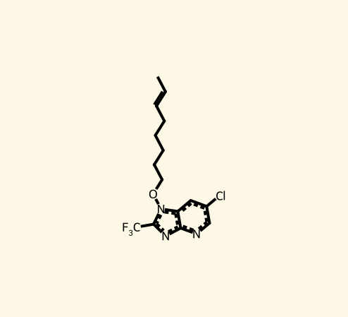 CC=CCCCCCOn1c(C(F)(F)F)nc2ncc(Cl)cc21